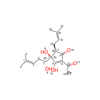 CC(C)=CC[C@@H](O)[C@@]1(O)C(O)=C(C(=O)C(C)C)C(=O)[C@@H]1CC=C(C)C